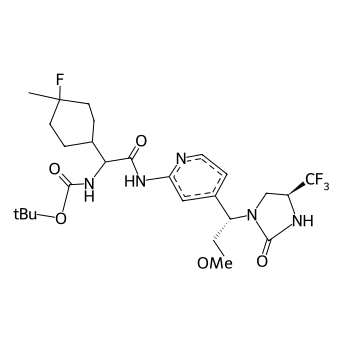 COC[C@H](c1ccnc(NC(=O)C(NC(=O)OC(C)(C)C)C2CCC(C)(F)CC2)c1)N1C[C@@H](C(F)(F)F)NC1=O